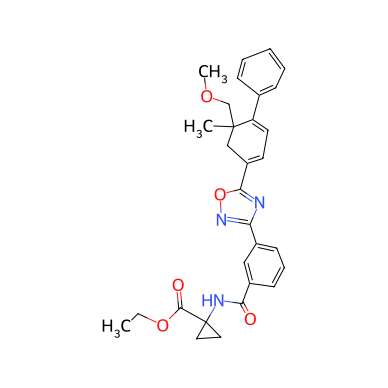 CCOC(=O)C1(NC(=O)c2cccc(-c3noc(C4=CC=C(c5ccccc5)C(C)(COC)C4)n3)c2)CC1